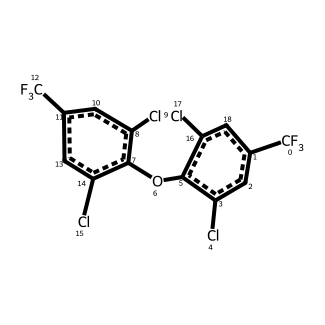 FC(F)(F)c1cc(Cl)c(Oc2c(Cl)cc(C(F)(F)F)cc2Cl)c(Cl)c1